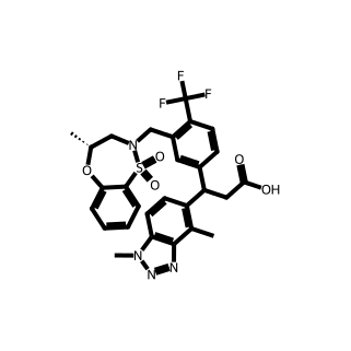 Cc1c(C(CC(=O)O)c2ccc(C(F)(F)F)c(CN3C[C@@H](C)Oc4ccccc4S3(=O)=O)c2)ccc2c1nnn2C